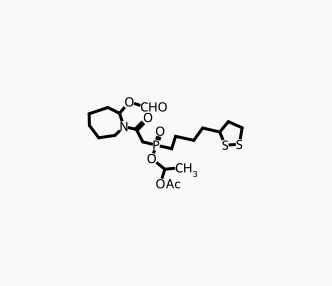 CC(=O)OC(C)OP(=O)(CCCCC1CCSS1)CC(=O)N1CCCCCC1OC=O